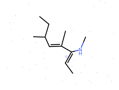 C/C=C(\NC)C(C)=CC(C)CC